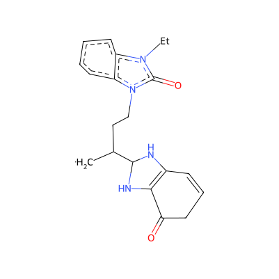 [CH2]C(CCn1c(=O)n(CC)c2ccccc21)C1NC2=C(N1)C(=O)CC=C2